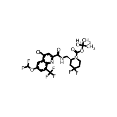 CC(C)(C)OC(=O)N1CCC(F)(F)C[C@H]1CNC(=O)c1cc(Cl)c2cc(OC(F)F)cc(C(F)(F)F)c2n1